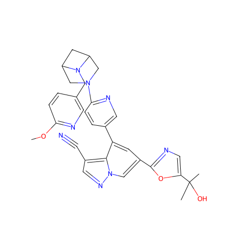 COc1ccc(CN2C3CC2CN(c2ccc(-c4cc(-c5ncc(C(C)(C)O)o5)cn5ncc(C#N)c45)cn2)C3)cn1